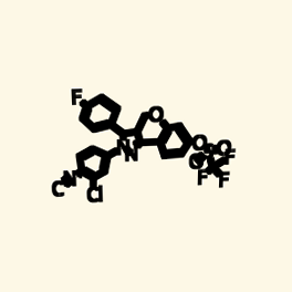 [C-]#[N+]c1ccc(N2N=C3c4ccc(OS(=O)(=O)C(F)(F)F)cc4OCC3C2c2ccc(F)cc2)cc1Cl